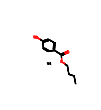 CCCCOC(=O)c1ccc(O)cc1.[KH]